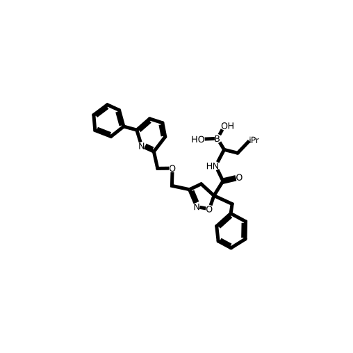 CC(C)CC(NC(=O)C1(Cc2ccccc2)CC(COCc2cccc(-c3ccccc3)n2)=NO1)B(O)O